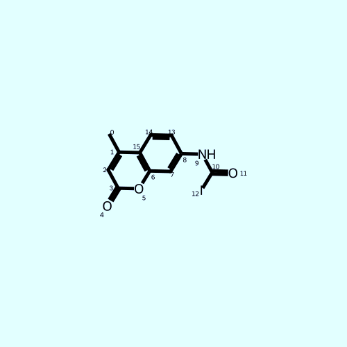 Cc1cc(=O)oc2cc(NC(=O)I)ccc12